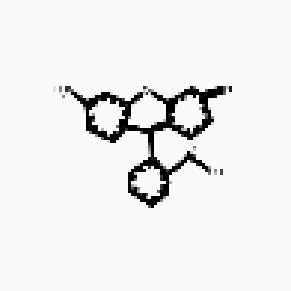 B=c1ccc2c(c1)Oc1cc(B)ccc1C=2c1ccccc1C(=O)O